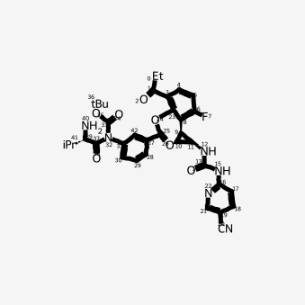 CCC(=O)c1ccc(F)c([C@@H]2C[C@@H]2NC(=O)Nc2ccc(C#N)cn2)c1OC(=O)c1cccc(N(C(=O)OC(C)(C)C)C(=O)[C@@H](N)C(C)C)c1